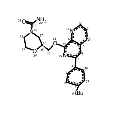 CC(C)(C)c1ccc(-c2cc3nccnc3c(OC[C@@H]3CN(C(N)=O)CCO3)n2)cc1